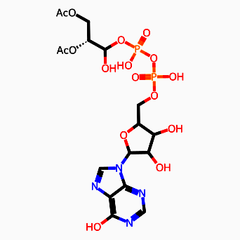 CC(=O)OC[C@@H](OC(C)=O)C(O)OP(=O)(O)OP(=O)(O)OCC1OC(n2cnc3c(O)ncnc32)C(O)C1O